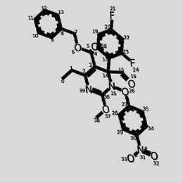 CCC1=C(C(=O)OCc2ccccc2)C(C=O)(c2ccc(F)cc2F)N(Oc2ccc([N+](=O)[O-])cc2)C(OC)=N1